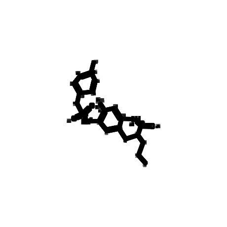 CCCC1Cc2cc(NS(=O)(=O)Cc3ccc(C)cc3)c(F)cc2NC1=O